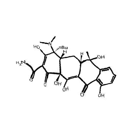 CCCC[C@@]1(N(C)C)C(O)=C(C(N)=O)C(=O)[C@@]2(O)C(O)=C3C(=O)c4c(O)cccc4[C@@](C)(O)[C@H]3C[C@H]21